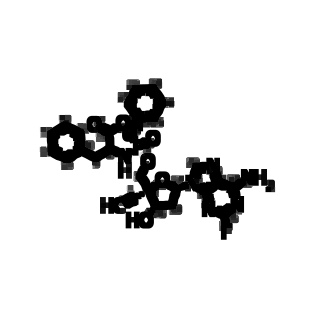 C#C[C@]1(CO[P@@](=O)(NC(Cc2ccccc2)C(=O)O)Oc2ccccc2)O[C@@H](n2cnc3c(N)nc(F)nc32)C[C@@H]1O